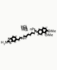 CCCN(CCCCCCNCCc1ccc2nc(N)sc2c1)[C@H]1CCc2c(ccc(OC)c2OC)C1.Cl.Cl.Cl